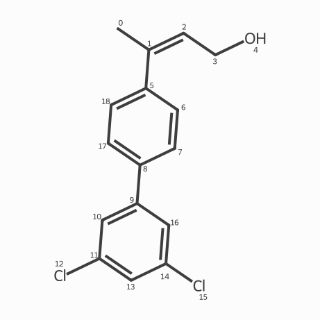 C/C(=C/CO)c1ccc(-c2cc(Cl)cc(Cl)c2)cc1